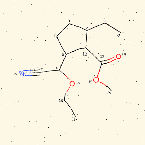 [CH2]CC1C[CH]C(C(C#N)OCC)C1C(=O)OC